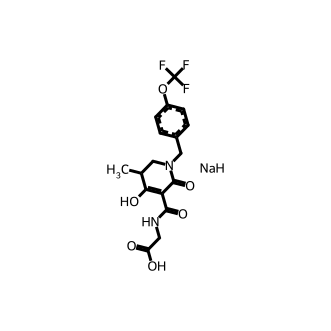 CC1CN(Cc2ccc(OC(F)(F)F)cc2)C(=O)C(C(=O)NCC(=O)O)=C1O.[NaH]